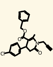 C#CCN1C(=O)CC(c2ccc(Cl)cc2)C(C(=O)OCc2ccccc2)=C1C